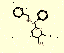 CC1CC[C@@H]([C@H](NCc2ccccc2)c2ccccc2)OC1O